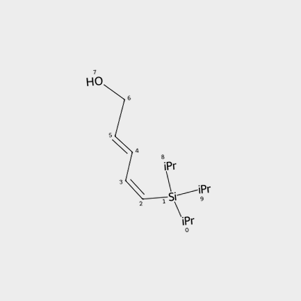 CC(C)[Si](/C=C\C=C\CO)(C(C)C)C(C)C